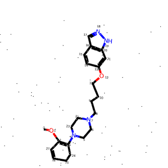 COC1=C(N2CCN(CCCCOc3ccc4cn[nH]c4c3)CC2)CCC=C1